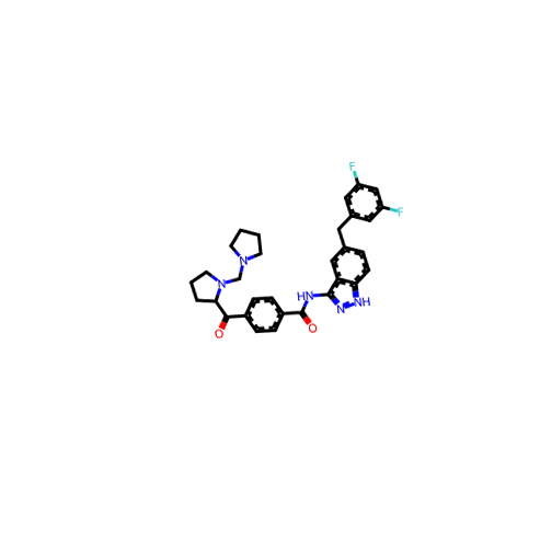 O=C(Nc1n[nH]c2ccc(Cc3cc(F)cc(F)c3)cc12)c1ccc(C(=O)C2CCCN2CN2CCCC2)cc1